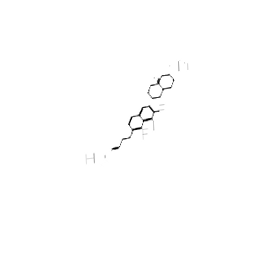 C/C=C/CCc1ccc2cc([C@@H]3CC[C@@H]4CC(CCC)CCC4C3)c(F)c(F)c2c1F